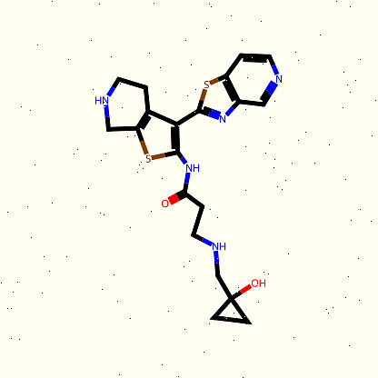 O=C(CCNCC1(O)CC1)Nc1sc2c(c1-c1nc3cnccc3s1)CCNC2